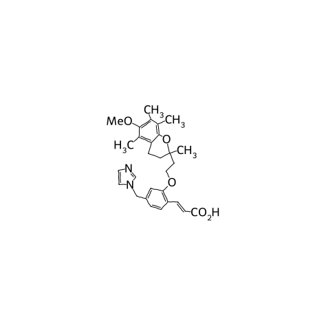 COc1c(C)c(C)c2c(c1C)CCC(C)(CCOc1cc(Cn3ccnc3)ccc1C=CC(=O)O)O2